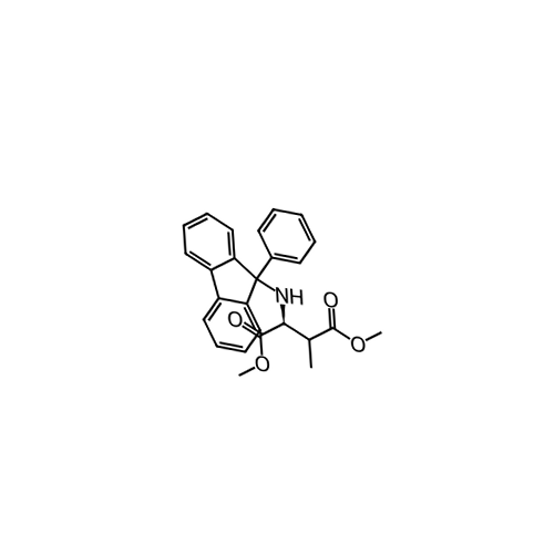 COC(=O)C(C)[C@H](NC1(c2ccccc2)c2ccccc2-c2ccccc21)C(=O)OC